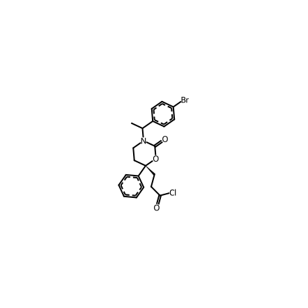 CC(c1ccc(Br)cc1)N1CC[C@@](CCC(=O)Cl)(c2ccccc2)OC1=O